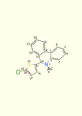 CC(=O)N1c2ccccc2-c2ccccc2C1c1ccc(Cl)s1